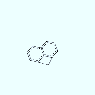 c1cc2c3c(cccc3c1)C2